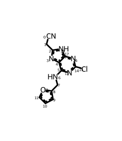 N#CCc1nc2c(NCc3ccco3)nc(Cl)nc2[nH]1